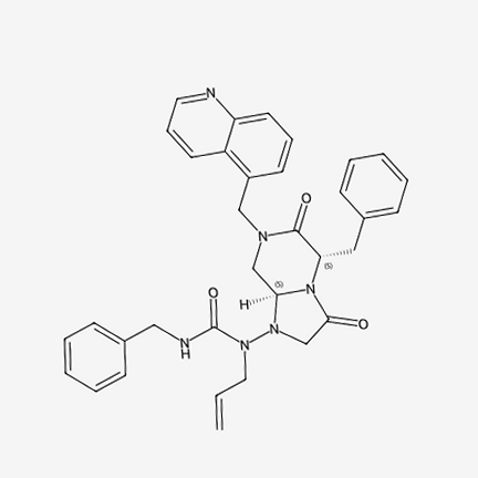 C=CCN(C(=O)NCc1ccccc1)N1CC(=O)N2[C@@H](Cc3ccccc3)C(=O)N(Cc3cccc4ncccc34)C[C@@H]21